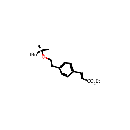 CCOC(=O)C=Cc1ccc(CCO[Si](C)(C)C(C)(C)C)cc1